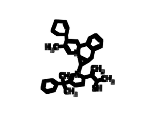 C=C(C(C)S)C1C=CC(C(C)(C)c2ccccc2)=CN1C1C2Cc3ccccc3C3C=C(C4C=CCCC4)C(C)=CN3C21